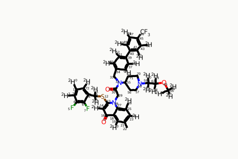 [2H]c1c([2H])c(F)c(F)c(C([2H])([2H])Sc2c([2H])c(=O)c3c([2H])c(C)c([2H])c([2H])c3n2CC(=O)N(Cc2c([2H])c([2H])c(-c3c([2H])c([2H])c(C(F)(F)F)c([2H])c3[2H])c([2H])c2[2H])C2CCN(C([2H])([2H])C([2H])([2H])OC([2H])([2H])[2H])CC2)c1[2H]